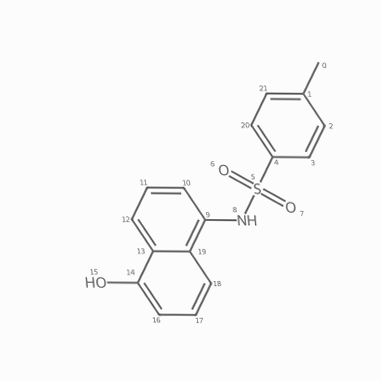 Cc1ccc(S(=O)(=O)Nc2cccc3c(O)cccc23)cc1